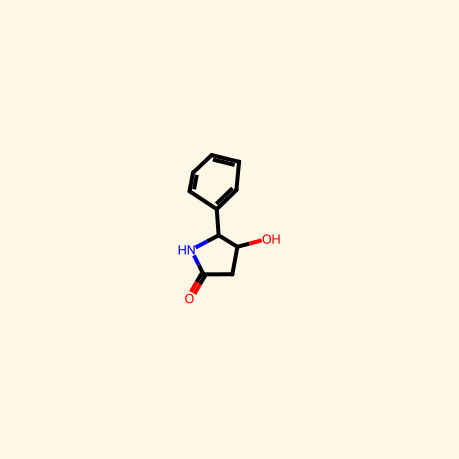 O=C1CC(O)C(c2ccccc2)N1